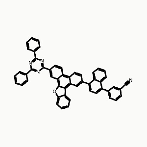 N#Cc1cccc(-c2ccc(-c3ccc4c5ccc(-c6nc(-c7ccccc7)nc(-c7ccccc7)n6)cc5c5oc6ccccc6c5c4c3)c3ccccc23)c1